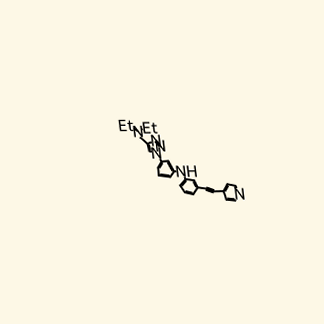 CCN(CC)Cc1cn(-c2cccc(Nc3cccc(C#Cc4ccncc4)c3)c2)nn1